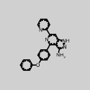 Nc1n[nH]c2cc(-c3ccccn3)nc(-c3ccc(Oc4ccccc4)cc3)c12